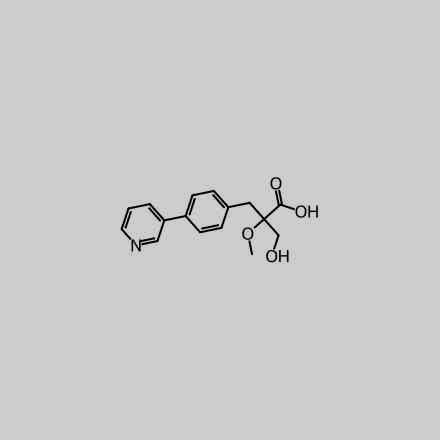 COC(CO)(Cc1ccc(-c2cccnc2)cc1)C(=O)O